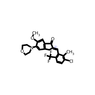 COc1cc2c(cc1N1CCOCC1)C/C(=C\c1c(C(F)(F)F)ccc(Cl)c1C)C2=O